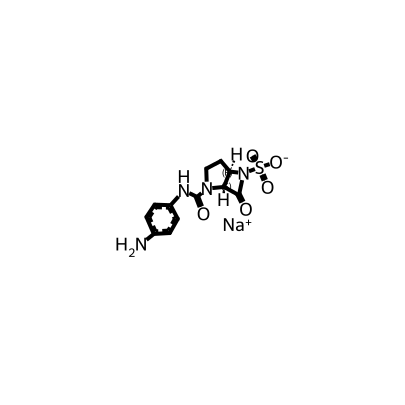 Nc1ccc(NC(=O)N2CC[C@@H]3[C@H]2C(=O)N3S(=O)(=O)[O-])cc1.[Na+]